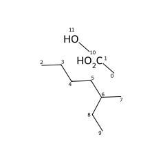 CC(=O)O.CCCCC(C)CC.CO